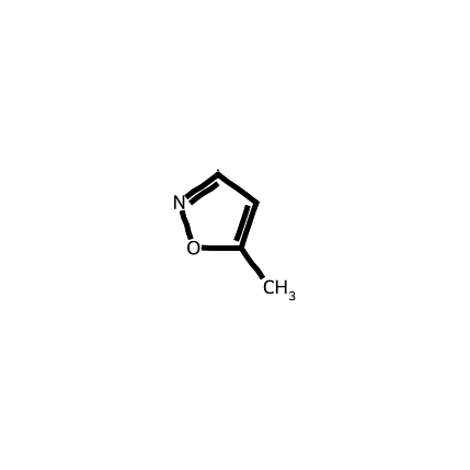 Cc1c[c]no1